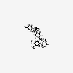 COc1cc2c(cc1OC)[C@@H]1CCCC[C@@H]1N=C2c1ccc(S(=O)(=O)Nc2ccc(C)cc2)cc1